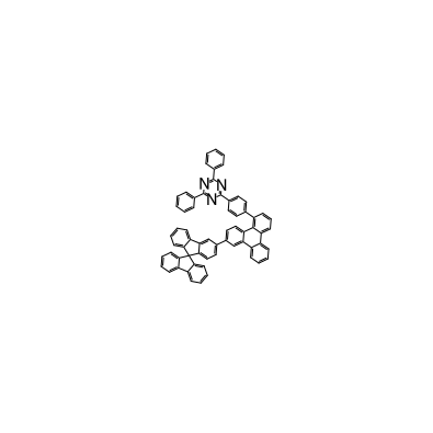 c1ccc(-c2nc(-c3ccccc3)nc(-c3ccc(-c4cccc5c6ccccc6c6cc(-c7ccc8c(c7)-c7ccccc7C87c8ccccc8-c8ccccc87)ccc6c45)cc3)n2)cc1